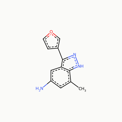 Cc1cc(N)cc2c(-c3ccoc3)n[nH]c12